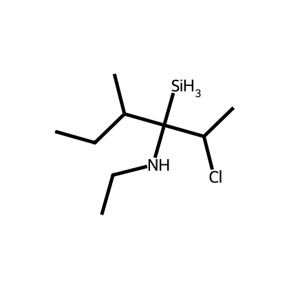 CCNC([SiH3])(C(C)Cl)C(C)CC